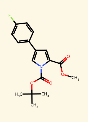 COC(=O)c1cc(-c2ccc(F)cc2)cn1C(=O)OC(C)(C)C